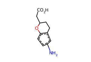 Nc1ccc2c(c1)CCC(CC(=O)O)O2